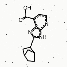 O=C(O)c1ccnc2[nH]c(C3CC4CCC3C4)nc12